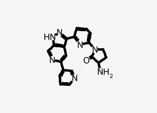 NC1CCN(c2cccc(-c3n[nH]c4cnc(-c5cccnc5)cc34)n2)C1=O